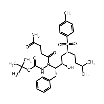 Cc1ccc(S(=O)(=O)N(CCC(C)C)C[C@@H](O)[C@H](Cc2ccccc2)N(NC(=O)OC(C)(C)C)C(=O)CCC(N)=O)cc1